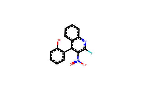 O=[N+]([O-])c1c(F)nc2ccccc2c1-c1ccccc1O